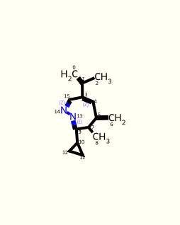 C=C(C)C1=C/C(=C)C(C)/C(C2CC2)=N/N=C\1